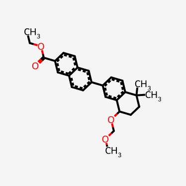 CCOC(=O)c1ccc2cc(-c3ccc4c(c3)C(OCOC)CCC4(C)C)ccc2c1